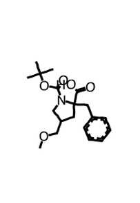 COCC1CN(C(=O)OC(C)(C)C)C(Cc2ccccc2)(C(=O)O)C1